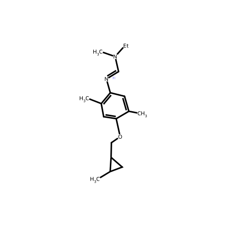 CCN(C)/C=N/c1cc(C)c(OCC2CC2C)cc1C